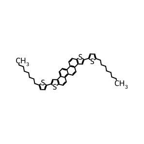 CCCCCCCCc1ccc(-c2cc3c(ccc4c3ccc3c5ccc6sc(-c7ccc(CCCCCCCC)s7)cc6c5ccc43)s2)s1